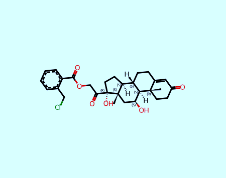 C[C@]12CCC(=O)C=C1CC[C@@H]1[C@@H]2[C@@H](O)C[C@@]2(C)[C@H]1CC[C@]2(O)C(=O)COC(=O)c1ccccc1CCl